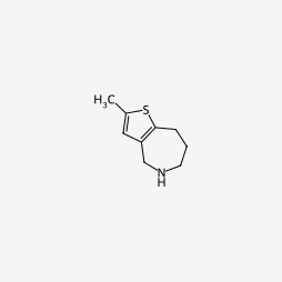 Cc1cc2c(s1)CCCNC2